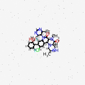 Cc1ncnc(C(C)C)c1-n1c(=O)c2c(c3cc(Cl)c(-c4c(O)cccc4F)c(F)c31)N1C[C@@H](C)NC[C@@H]1C(=O)N2C